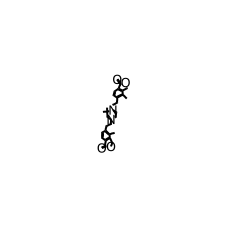 Cc1c(CCN2CCN(CCc3ccc4c(c3C)COC4=O)C(C)(C)C2)ccc2c1COC2=O